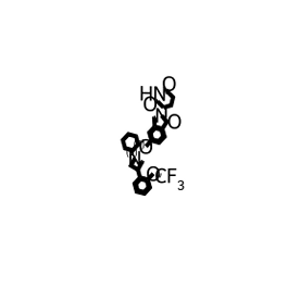 O=C1CCC(N2Cc3cc(O[C@@H]4CCCC[C@@H]4N4CC(c5ccccc5OC(F)(F)F)C4)ccc3C2=O)C(=O)N1